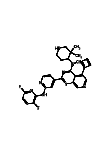 CN(c1nc(-c2ccnc(Nc3nc(F)ccc3F)c2)nc2cncc(C3=CC=C3)c12)C1CCNCC1(C)C